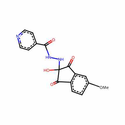 COc1ccc2c(c1)C(=O)C(O)(NNC(=O)c1ccncc1)C2=O